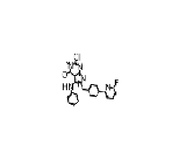 Cn1c(Cl)nc2nn(Cc3ccc(-c4cccc(F)n4)cc3)c(Nc3ccccc3)c2c1=O